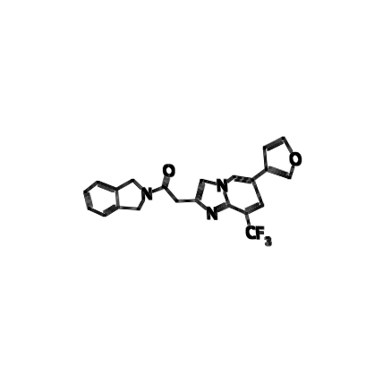 O=C(Cc1cn2cc(-c3ccoc3)cc(C(F)(F)F)c2n1)N1Cc2ccccc2C1